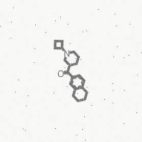 O=C(c1ccc2c(c1)CCCC2)C1CCCN(C2CCC2)C1